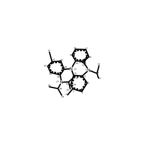 Cc1ccc(N(C(C)C)C(C)C)c(N(c2ccccc2)c2cc(C)ccc2N(C(C)C)C(C)C)c1